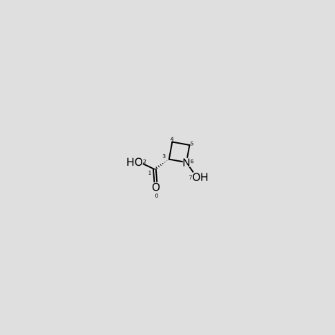 O=C(O)[C@@H]1CCN1O